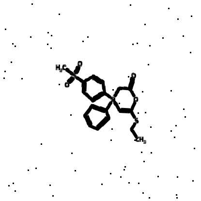 CCSC1=C[Si](c2ccccc2)(c2ccc(S(C)(=O)=O)cc2)CC(=O)O1